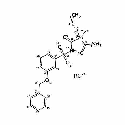 C=C[C@@H]1C[C@@]1(C(N)=O)C(=O)NS(=O)(=O)c1cccc(OCc2ccccc2)c1.Cl